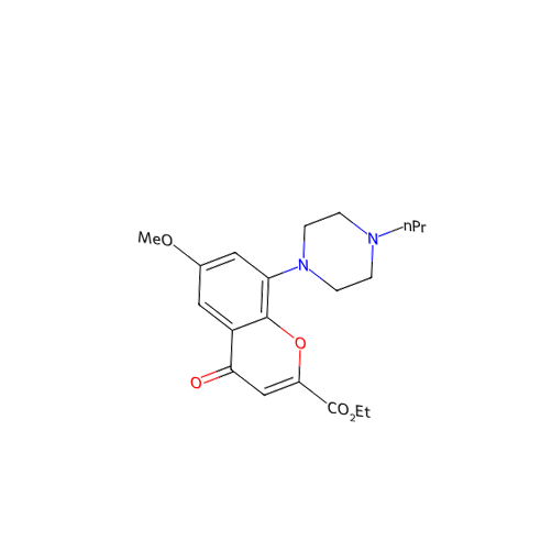 CCCN1CCN(c2cc(OC)cc3c(=O)cc(C(=O)OCC)oc23)CC1